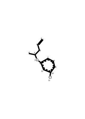 [CH]=CCC(C)Oc1cccc(Cl)c1